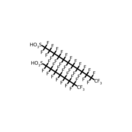 O=S(=O)(O)C(F)(F)C(F)(F)C(F)(F)C(F)(F)C(F)(F)C(F)(F)C(F)(F)C(F)(F)C(F)(F)C(F)(F)C(F)(F)C(F)(F)F.O=S(=O)(O)C(F)(F)C(F)(F)C(F)(F)C(F)(F)C(F)(F)C(F)(F)C(F)(F)C(F)(F)F